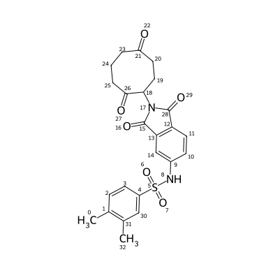 Cc1ccc(S(=O)(=O)Nc2ccc3c(c2)C(=O)N(C2CCC(=O)CCCC2=O)C3=O)cc1C